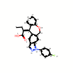 CCC(C(=O)O)=C1c2cc3cnn(-c4ccc(F)cc4)c3cc2COc2ccccc21